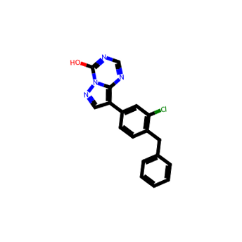 Oc1ncnc2c(-c3ccc(Cc4ccccc4)c(Cl)c3)cnn12